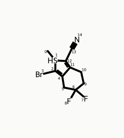 C[SH]1C(Br)=C2CC(F)(F)CCC2=C1C#N